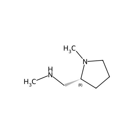 CNC[C@H]1CCCN1C